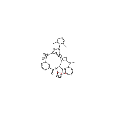 Cc1cccc(C)c1-c1cc2nc(n1)NS(=O)(=O)c1cccc(c1)C(=O)N(C13CC(C1)C3c1cccc(N(C)C3CC4(CC4)C3)n1)[C@H](CC(C)(C)C)CO2